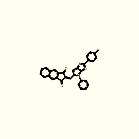 Cc1ccc(-c2nc3c(cc(C=C4C(=O)c5cc6ccccc6cc5C4=O)n3-c3ccccc3)s2)cc1